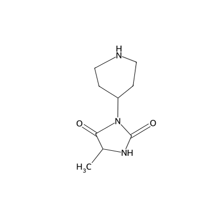 CC1NC(=O)N(C2CCNCC2)C1=O